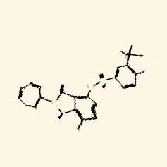 O=C1c2c(Cl)ccc(NS(=O)(=O)c3ccc(Cl)c(C(F)(F)F)c3)c2C(=O)N1C1=CCC=CC=C1